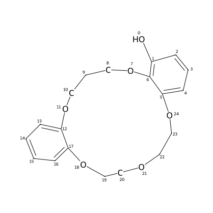 Oc1cccc2c1OCCCOc1ccccc1OCCOCCO2